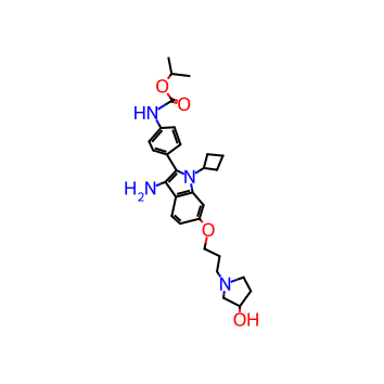 CC(C)OC(=O)Nc1ccc(-c2c(N)c3ccc(OCCCN4CCC(O)C4)cc3n2C2CCC2)cc1